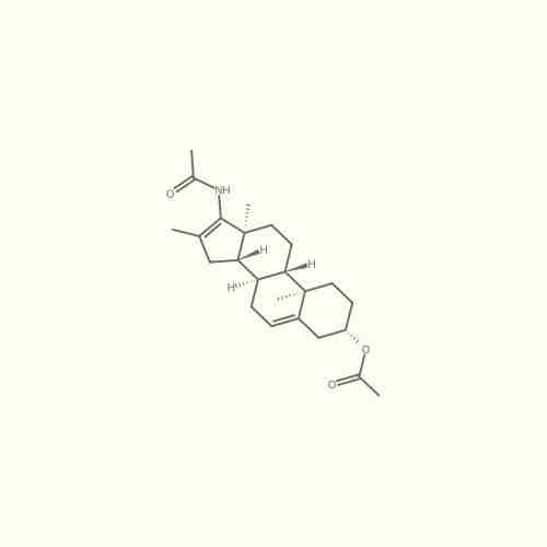 CC(=O)NC1=C(C)C[C@H]2[C@@H]3CC=C4C[C@@H](OC(C)=O)CC[C@]4(C)[C@H]3CC[C@]12C